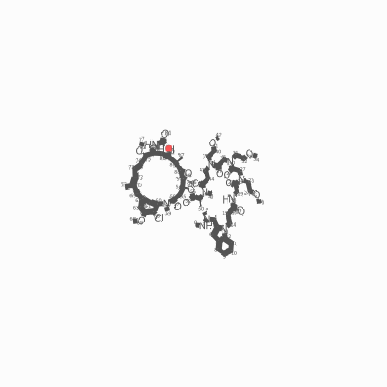 CNN(C)Cc1cc2ccccc2n1CCC(=O)NCC(=O)N(CCOC)CC(=O)N(CCOC)CC(=O)N(CCOC)CCC(=O)N(C)[C@@H](C)C(=O)O[C@H]1CC(=O)N(C)c2cc(cc(OC)c2Cl)C/C(C)=C/C=C/[C@@H](OC)[C@@]2(O)C[C@H](OC(=O)N2)[C@@H](C)C2O[C@]21C